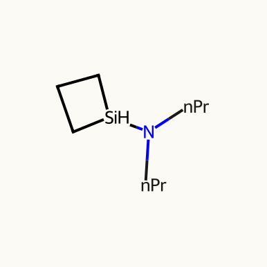 CCCN(CCC)[SiH]1CCC1